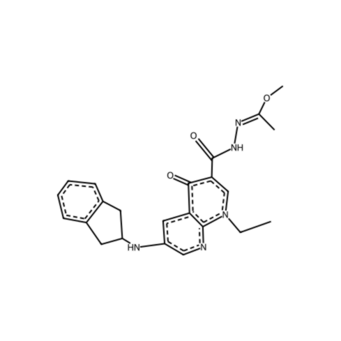 CCn1cc(C(=O)N/N=C(\C)OC)c(=O)c2cc(NC3Cc4ccccc4C3)cnc21